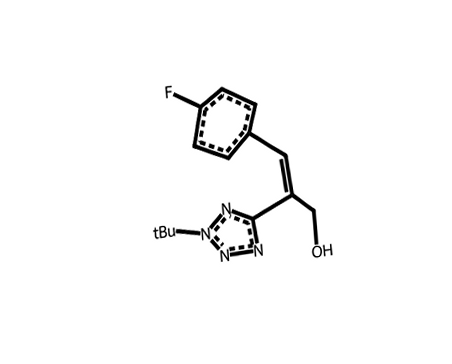 CC(C)(C)n1nnc(C(=Cc2ccc(F)cc2)CO)n1